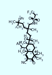 CCCC(C)(C)CC[C@@](C)(CCC(C)(C)[C@]1(C)CC[C@H]2C(C)(C)C(=O)C(C#N)=C[C@]2(C)[C@H]1CC(C)=O)CNS(=O)(=O)CC(F)(F)F